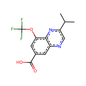 CC(C)c1cnc2cc(C(=O)O)cc(OC(F)(F)F)c2n1